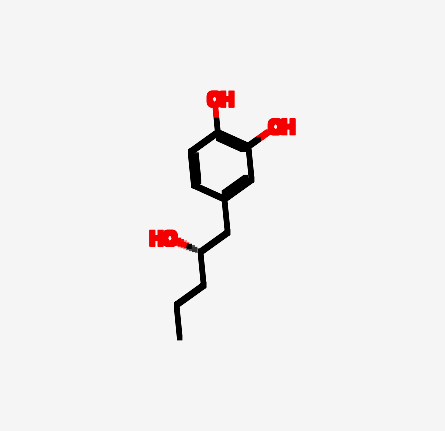 CCC[C@H](O)Cc1ccc(O)c(O)c1